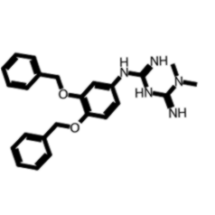 CN(C)C(=N)NC(=N)Nc1ccc(OCc2ccccc2)c(OCc2ccccc2)c1